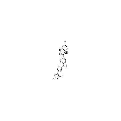 Cc1nc(C)c(-c2csc(Nc3ccc(C(=O)Nc4ccc(Cl)cc4F)cn3)n2)s1